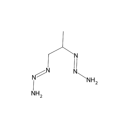 CC(CN=NN)N=NN